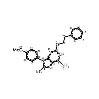 CCc1nc2c(N)nc(OCCc3ccccc3)nc2n1-c1ccc(OC)cc1